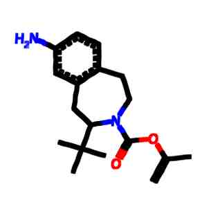 C=C(C)OC(=O)N1CCc2ccc(N)cc2CC1C(C)(C)C